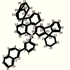 c1cc(-c2ccc3ccccc3c2)cc(N(c2ccc3c(c2)C2(CCCCC2)c2ccccc2-3)c2cccc3c2-c2ccccc2C32C3CC4CC(C3)CC2C4)c1